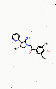 CCC[C@H]1CN(CC(=O)c2cc(C(C)(C)C)c(O)c(C(C)(C)C)c2)C(=N)[C@@H]1c1ccccn1